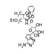 C=C(C)[C@H](NP(=O)(OC[C@H]1O[C@@](C#N)(c2ccc3c(N)ncnn23)[C@H](O)[C@@H]1O)Oc1ccccc1)C(=O)OCC